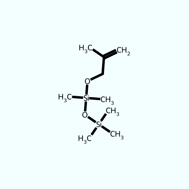 C=C(C)CO[Si](C)(C)O[Si](C)(C)C